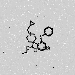 Br.CCOC(=O)C1(c2ccccc2Sc2ccccc2)CCN(CC2CC2)CC1